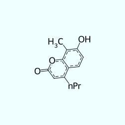 CCCc1cc(=O)oc2c(C)c(O)ccc12